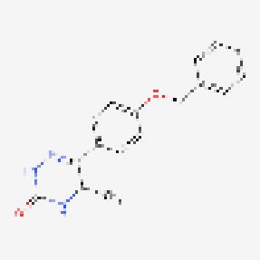 CC1NC(=O)NN=C1c1ccc(OCc2ccccc2)cc1